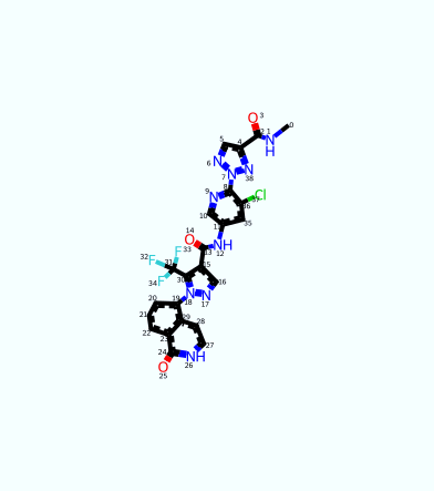 CNC(=O)c1cnn(-c2ncc(NC(=O)c3cnn(-c4cccc5c(=O)[nH]ccc45)c3C(F)(F)F)cc2Cl)n1